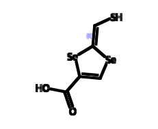 O=C(O)C1=C[Se]/C(=C\S)[Se]1